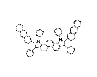 c1ccc(-c2c(-c3ccc4cc5ccccc5cc4c3)n(-c3ccccc3)c3c2ccc2c4ccc5c(c4ccc23)N(c2ccccc2)C(c2ccc3cc4ccccc4cc3c2)C5c2ccccc2)cc1